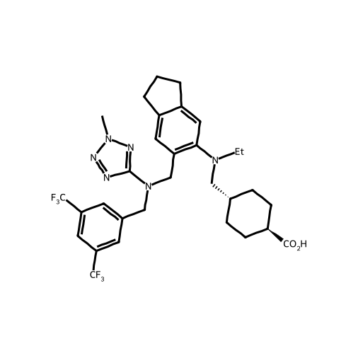 CCN(C[C@H]1CC[C@H](C(=O)O)CC1)c1cc2c(cc1CN(Cc1cc(C(F)(F)F)cc(C(F)(F)F)c1)c1nnn(C)n1)CCC2